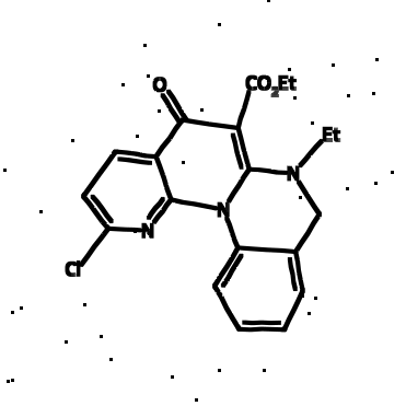 CCOC(=O)c1c2n(c3nc(Cl)ccc3c1=O)-c1ccccc1CN2CC